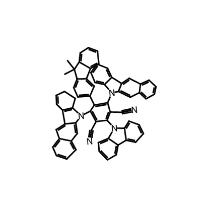 CC1(C)c2ccccc2-c2cc(-c3c(-n4c5c(c6cc7ccccc7cc64)C=CCC5)c(C#N)c(-n4c5ccccc5c5ccccc54)c(C#N)c3-n3c4ccccc4c4cc5ccccc5cc43)ccc21